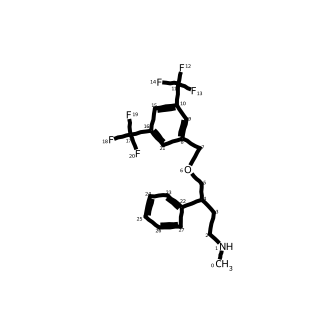 CNCCC(COCc1cc(C(F)(F)F)cc(C(F)(F)F)c1)c1ccccc1